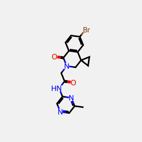 Cc1cncc(NC(=O)CN2CC3(CC3)c3cc(Br)ccc3C2=O)n1